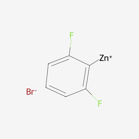 Fc1cccc(F)[c]1[Zn+].[Br-]